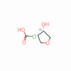 O=C(O)Cl.O[C@H]1CCOC1